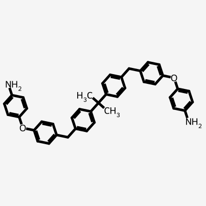 CC(C)(c1ccc(Cc2ccc(Oc3ccc(N)cc3)cc2)cc1)c1ccc(Cc2ccc(Oc3ccc(N)cc3)cc2)cc1